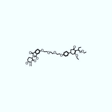 CCO/N=C(\CC)C1=C(OCC)CC(c2ccc(OCCOCCOCCOc3ccc4c(c3)C(=O)N(C3CCC(=O)NC3=O)C4=O)cc2)CC1=O